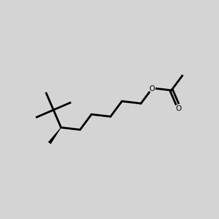 CC(=O)OCCCCC[C@@H](C)C(C)(C)C